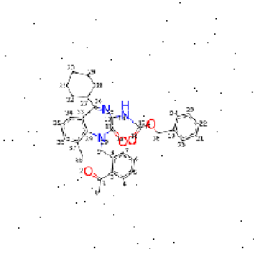 CC(=O)c1ccccc1CN1C(=O)C(NC(=O)OCc2ccccc2)N=C(C2CCCCC2)c2cccc(C)c21